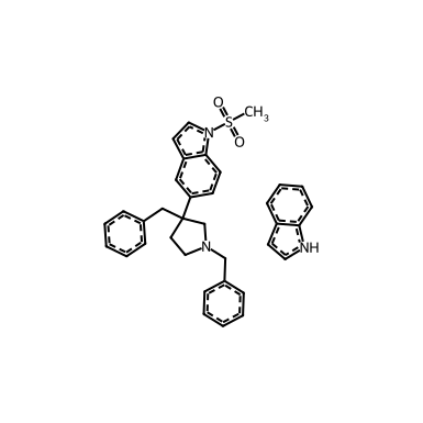 CS(=O)(=O)n1ccc2cc(C3(Cc4ccccc4)CCN(Cc4ccccc4)C3)ccc21.c1ccc2[nH]ccc2c1